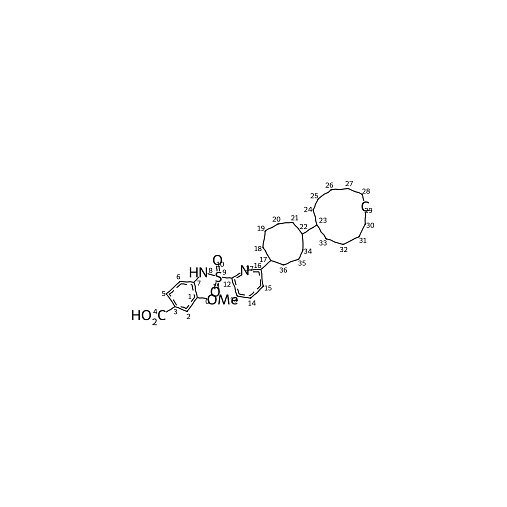 COc1cc(C(=O)O)ccc1NS(=O)(=O)c1cccc(C2CCCCC(C3CCCCCCCCCC3)CCC2)n1